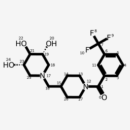 O=C(c1cccc(C(F)(F)F)c1)N1CCC(CN2C[C@@H](O)C(O)[C@@H](O)C2)CC1